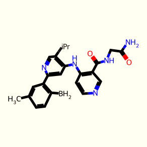 Bc1ccc(C)cc1-c1cc(Nc2ccncc2C(=O)NCC(N)=O)c(C(C)C)cn1